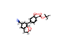 CC(C)(C)OC(=O)c1ccc(-c2cc(C#N)cc3c2OCC3)cc1O